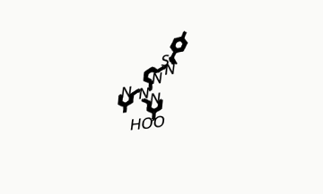 Cc1ccc(-c2cnc(-c3cccc(CN(Cc4cc(C)ccn4)Cc4cc(C(=O)O)ccn4)n3)s2)cc1